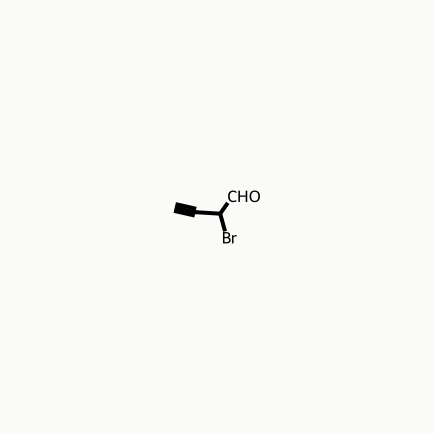 C#CC(Br)C=O